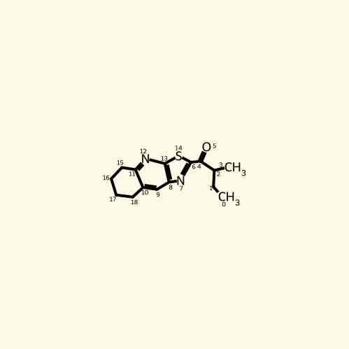 CCC(C)C(=O)c1nc2cc3c(nc2s1)CCCC3